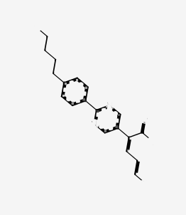 CC=CC=C(C(=O)O)c1cnc(-c2ccc(CCCCC)cc2)nc1